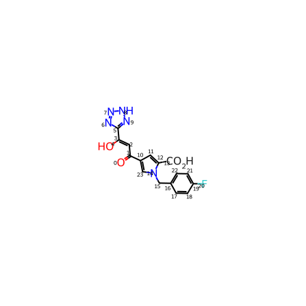 O=C(C=C(O)c1nn[nH]n1)c1cc(C(=O)O)n(Cc2ccc(F)cc2)c1